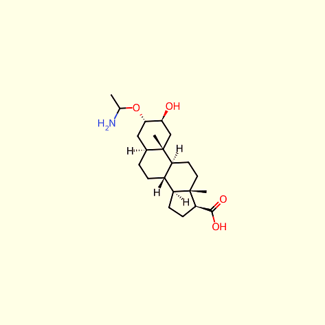 CC(N)O[C@H]1C[C@@H]2CC[C@@H]3[C@H](CC[C@]4(C)[C@@H](C(=O)O)CC[C@@H]34)[C@@]2(C)C[C@@H]1O